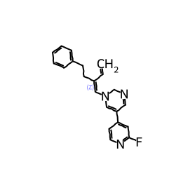 C=C/C(=C\N1C=C(c2ccnc(F)c2)C=NC1)CCc1ccccc1